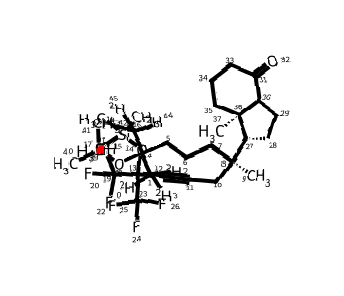 [2H]C([2H])([2H])C(CCC[C@](C)(CC#CC(O[Si](C)(C)C)(C(F)(F)F)C(F)(F)F)[C@H]1CCC2C(=O)CCC[C@@]21C)(O[SiH](C)C)C([2H])([2H])[2H]